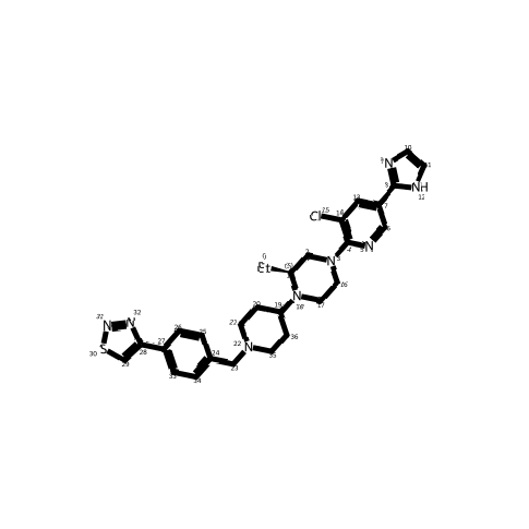 CC[C@H]1CN(c2ncc(-c3ncc[nH]3)cc2Cl)CCN1C1CCN(Cc2ccc(-c3csnn3)cc2)CC1